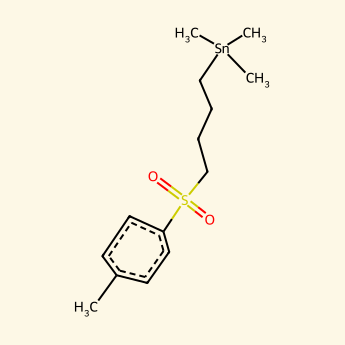 Cc1ccc(S(=O)(=O)CCC[CH2][Sn]([CH3])([CH3])[CH3])cc1